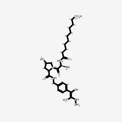 C/C(NN)=C(/S)c1ccc(CNC(=O)C2CC(O)CN2C(=O)[C@@H](NC(=O)CCCCCCCCCC(=O)O)C(C)(C)C)cc1